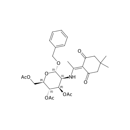 CC(=O)OC[C@H]1O[C@H](OCc2ccccc2)[C@@H](NC(C)=C2C(=O)CC(C)(C)CC2=O)[C@@H](OC(C)=O)[C@@H]1OC(C)=O